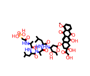 COc1cccc2c1C(=O)c1cc3c(c(O)c1C2=O)CC(O)(C(=O)CO)CC3OC1CC(NC(=O)C(CC(C)C)NC(=O)C(C)NC(=O)C(CC(C)C)NC(=O)C(C)NC(=O)CP(=O)(O)O)C(O)C(C)O1